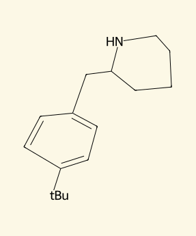 CC(C)(C)c1ccc(CC2CCCCN2)cc1